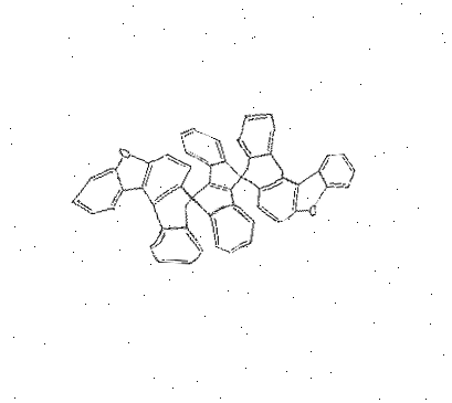 c1ccc2c(c1)C1=C(c3ccccc3C13c1ccccc1-c1c3ccc3oc4ccccc4c13)C21c2ccccc2-c2c1ccc1oc3ccccc3c21